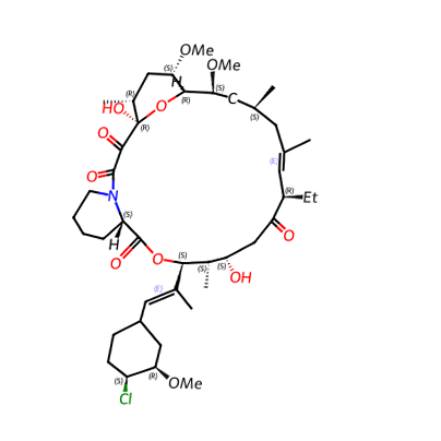 CC[C@@H]1/C=C(\C)C[C@H](C)C[C@H](OC)[C@H]2O[C@@](O)(C(=O)C(=O)N3CCCC[C@H]3C(=O)O[C@H](/C(C)=C/C3CC[C@H](Cl)[C@H](OC)C3)[C@@H](C)[C@@H](O)CC1=O)[C@H](C)C[C@@H]2OC